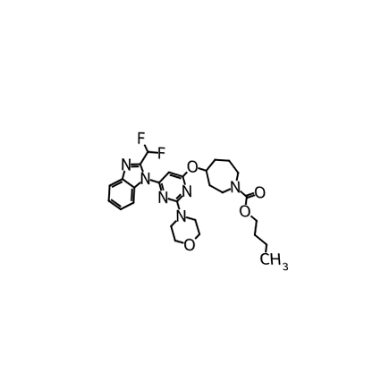 CCCCOC(=O)N1CCCC(Oc2cc(-n3c(C(F)F)nc4ccccc43)nc(N3CCOCC3)n2)CC1